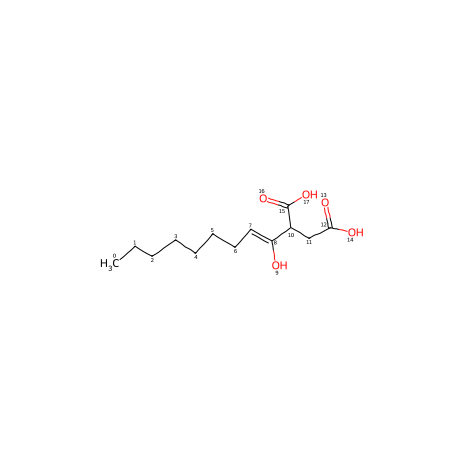 CCCCCCCC=C(O)C(CC(=O)O)C(=O)O